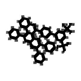 FC(F)(F)c1cc(-c2ccc(-c3nc4ccccc4c4c(-c5ccccc5)cc5nc(-c6ccccc6)c(-c6ccccc6)nc5c34)cc2)cc(C(F)(F)F)c1